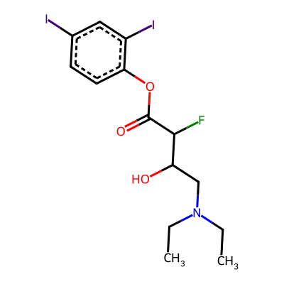 CCN(CC)CC(O)C(F)C(=O)Oc1ccc(I)cc1I